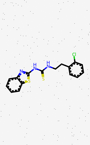 S=C(NCCc1ccccc1Cl)Nc1nc2ccccc2s1